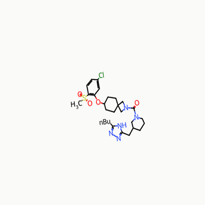 CCCCc1nnc(CC2CCCN(C(=O)N3CC4(CCC(Oc5cc(Cl)ccc5S(C)(=O)=O)CC4)C3)C2)[nH]1